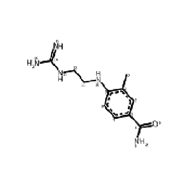 Cc1cc(C(N)=O)ccc1NCCNC(=N)N